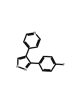 Fc1ccc(C2=N[N]C=C2c2ccncc2)cc1